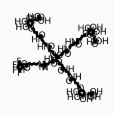 O=C(CCCCO[C@H]1O[C@H](CC[PH](=O)O)[C@@H](O)[C@H](O)[C@@H]1O)NCCCNC(=O)CCOCC(COCCC(=O)NCCCNC(=O)CCCCO[C@H]1C[C@H](CCP(=O)(O)O)[C@@H](O)[C@H](O)[C@@H]1O)(COCCC(=O)NCCCNC(=O)CCCCO[C@H]1C[C@H](CCP(=O)(O)O)[C@@H](O)[C@H](O)[C@@H]1O)NC(=O)CCc1cn(CCCCCC(=O)Oc2c(F)c(F)c(F)c(F)c2F)nn1